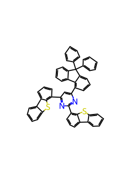 c1ccc(C2(c3ccccc3)c3ccccc3-c3c(-c4cc(-c5cccc6c5sc5ccccc56)nc(-c5cccc6c5sc5ccccc56)n4)cccc32)cc1